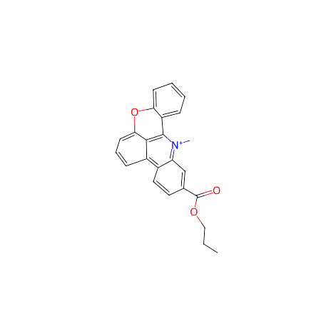 CCCOC(=O)c1ccc2c3cccc4c3c([n+](C)c2c1)-c1ccccc1O4